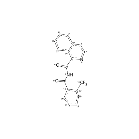 O=C(NC(=O)c1nccc2ccccc12)c1cnccc1C(F)(F)F